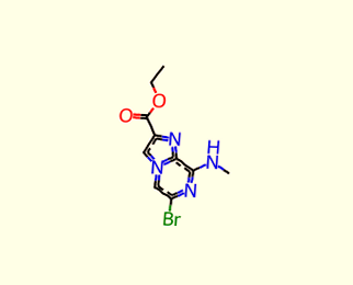 CCOC(=O)c1cn2cc(Br)nc(NC)c2n1